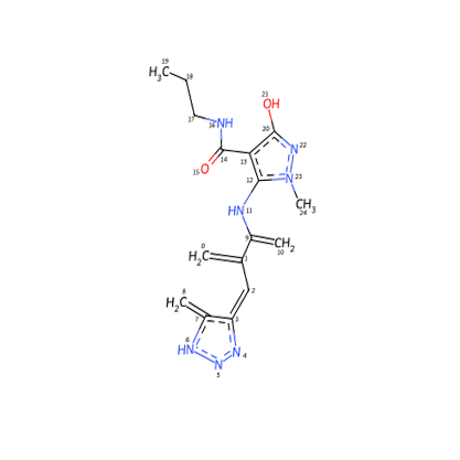 C=C(/C=c1/nn[nH]c1=C)C(=C)Nc1c(C(=O)NCCC)c(O)nn1C